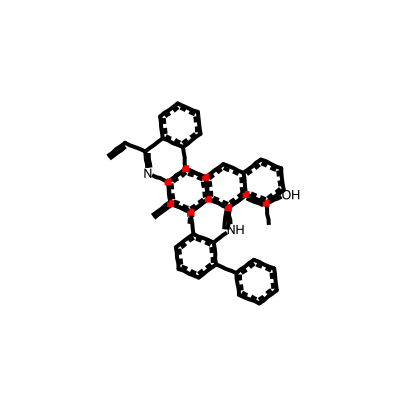 C=CC1=NC(C(=C)N(C)c2ccc3ccccc3c2Nc2c(-c3ccccc3)cccc2-c2ccccc2)C(CCC(=C)/C=C(\C)O)c2ccccc21